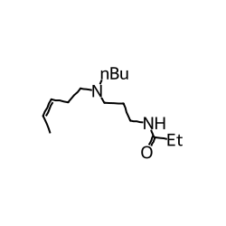 C/C=C\CCN(CCCC)CCCNC(=O)CC